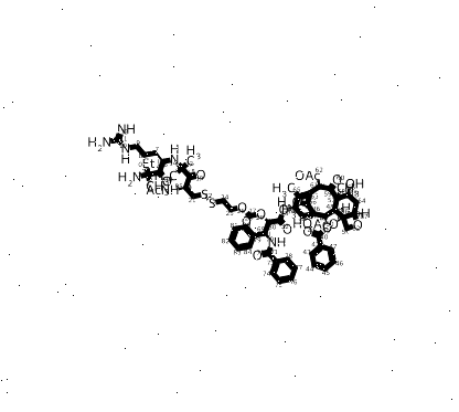 CCC(C)(N)C(=O)[C@@H](CCCNC(=N)N)NC(C)(C)C(=O)[C@@H](CSSCCOC(=O)O[C@@H](C(=O)O[C@H]1C[C@@]2(O)[C@@H](OC(=O)c3ccccc3)[C@@H]3[C@]4(OC(C)=O)CO[C@@H]4C[C@H](O)[C@@]3(C)C(=O)[C@H](OC(C)=O)C(=C1C)C2(C)C)[C@@H](NC(=O)c1ccccc1)c1ccccc1)NC(C)=O